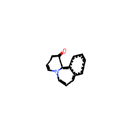 O=C1CC=CN2C=CC=c3ccccc3=C12